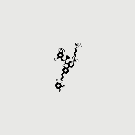 O=C(OCCCCO[N+](=O)[O-])N1CCC(c2ccc(CCCOc3c(F)ccc(F)c3F)cc2)=C(C(=O)N(Cc2cc3c(cc2Cl)OCO3)C2CC2)C1